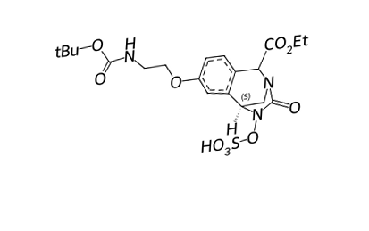 CCOC(=O)C1c2ccc(OCCNC(=O)OC(C)(C)C)cc2[C@H]2CN1C(=O)N2OS(=O)(=O)O